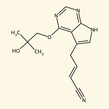 CC(C)(O)COc1ncnc2[nH]cc(CC=CC#N)c12